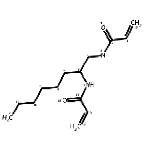 C=CC(=O)NCC(CCCCCC)NC(=O)C=C